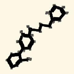 Fc1ccccc1-c1ccc(OCCCc2ccccn2)nc1